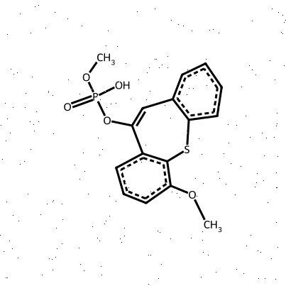 COc1cccc2c1Sc1ccccc1C=C2OP(=O)(O)OC